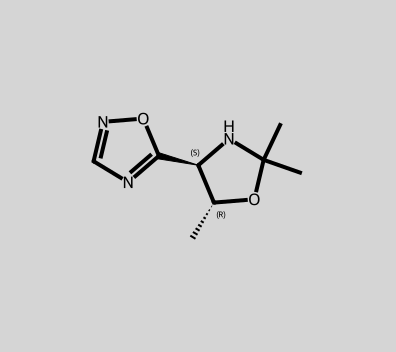 C[C@H]1OC(C)(C)N[C@@H]1c1ncno1